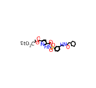 CCOC(=O)C(C)OC(=O)c1ccc(C(=O)NS(=O)(=O)c2cccc(CCNC(=O)CC3CCCCC3)c2)cn1